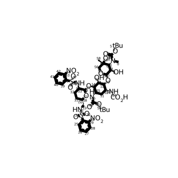 CN(C(=O)OC(C)(C)C)[C@@H]1[C@@H](O)[C@@H](O[C@@H]2[C@@H](O)[C@H](O[C@H]3O[C@H](CNS(=O)(=O)c4ccccc4[N+](=O)[O-])CC[C@H]3NS(=O)(=O)c3ccccc3[N+](=O)[O-])[C@@H](NC(=O)OC(C)(C)C)C[C@H]2NC(=O)O)OC[C@]1(C)O